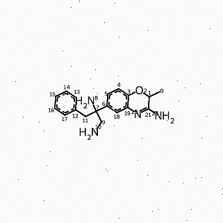 CC1Oc2ccc(C(N)(CN)Cc3ccccc3)cc2N=C1N